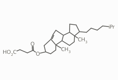 CC(C)CCCCC1CCC2C3CC=C4CC(OC(=O)CCC(=O)O)CCC4(C)C3CCC12C